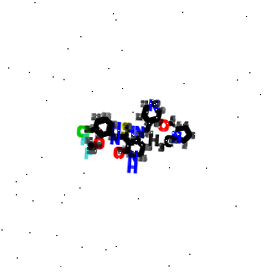 CN1CCC[C@H]1COc1cnccc1CNC1=C(C(=S)Nc2cccc(Cl)c2OC(F)F)C(=O)NCC1